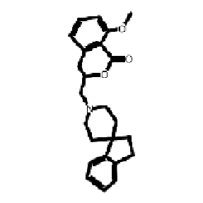 COc1cccc2c1C(=O)OC(CN1CCC3(CCc4ccccc43)CC1)C2